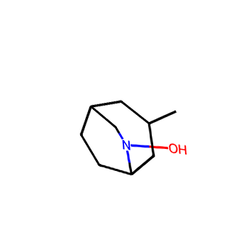 CC1CC2CCC(C1)N(O)C2